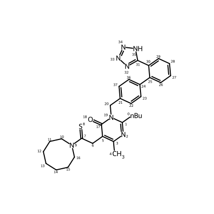 CCCCc1nc(C)c(CC(=S)N2CCCCCCC2)c(=O)n1Cc1ccc(-c2ccccc2-c2nnn[nH]2)cc1